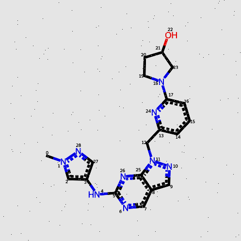 Cn1cc(Nc2ncc3cnn(Cc4cccc(N5CCC(O)C5)n4)c3n2)cn1